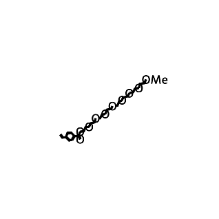 C=Cc1ccc(C(=O)OCCOCCOCCOCCOCCOCCOCCOCCOC)cc1